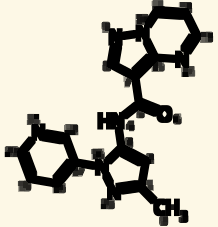 Cc1cc(NC(=O)c2cnn3cccnc23)n(-c2cccnc2)n1